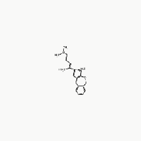 CN(C)CC/C=C(\C(=O)O)c1ccc2c(c1)Cc1ccccc1CO2.Cl